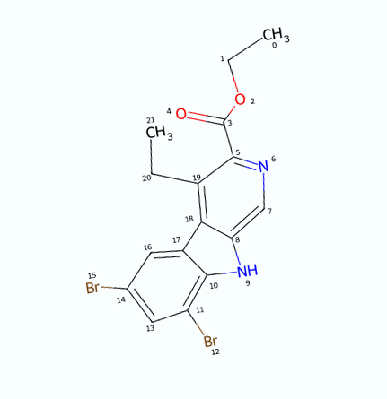 CCOC(=O)c1ncc2[nH]c3c(Br)cc(Br)cc3c2c1CC